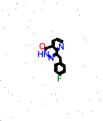 O=c1[nH]nc(Cc2ccc(F)cc2)c2ncccc12